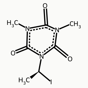 C[C@H](I)n1c(=O)n(C)c(=O)n(C)c1=O